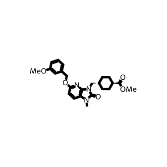 COc1cccc(COc2ccc3c(n2)n(C[C@H]2CC[C@H](C(=O)OC)CC2)c(=O)n3C)c1